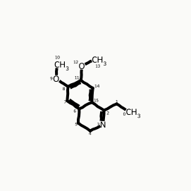 CCC1=NCCc2cc(OC)c(OC)cc21